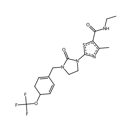 CCNC(=O)c1sc(N2CCN(CC3=CCC(OC(F)(F)F)C=C3)C2=O)nc1C